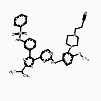 COc1ccc(Nc2nccc(-c3sc(C(C)C)nc3-c3cccc(NS(=O)(=O)c4ccccc4)c3)n2)cc1N1CCN(CCC#N)CC1